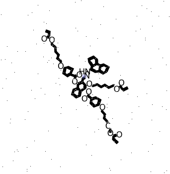 C=CC(=O)OCCCCCCOc1ccc(C(=O)Oc2c(/C=N/Nc3cc4ccccc4c4ccccc34)c(OCCCCCCOC(=O)C=C)c(OC(=O)c3ccc(OCCCCCCOC(=O)C=C)cc3)c3ccccc23)cc1